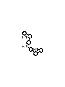 c1ccc2c(c1)[nH]c1c(-c3ccc([SiH2]c4ccc(-c5cccc6c5[nH]c5ccccc56)cc4)cc3)cccc12